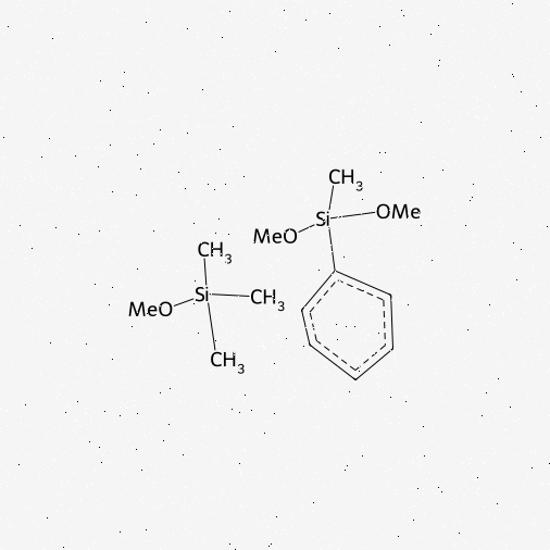 CO[Si](C)(C)C.CO[Si](C)(OC)c1ccccc1